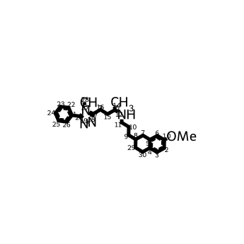 COc1ccc2c(c1)CC(CCCNC(C)CCc1nnc(-c3ccccc3)n1C)CC2